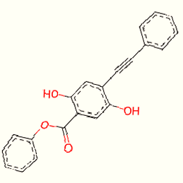 O=C(Oc1ccccc1)c1cc(O)c(C#Cc2ccccc2)cc1O